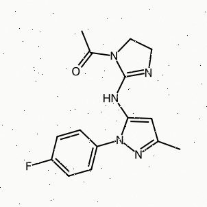 CC(=O)N1CCN=C1Nc1cc(C)nn1-c1ccc(F)cc1